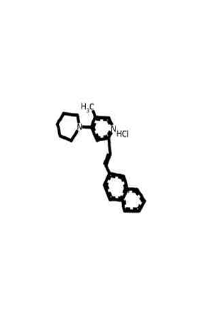 Cc1cnc(C=Cc2ccc3ccccc3c2)cc1N1CCCCC1.Cl